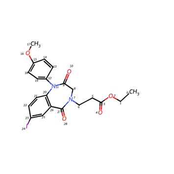 CCOC(=O)CCN1CC(=O)N(c2ccc(OC)cc2)c2ccc(I)cc2C1=O